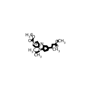 COC(=O)C[C@@H](C)c1ccc(N(CC(C)C)C2CCN(C(=O)OC)CC2)c(N)c1